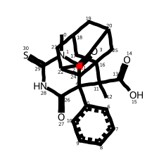 CN1C(=O)C(c2ccccc2)(C(C)(C(=O)O)C23CC4CC(CC(C4)C2)C3)C(=O)NC1=S